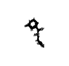 Cc1cccc(C(=O)NCCC#N)c1